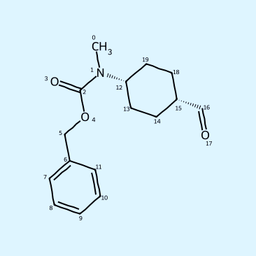 CN(C(=O)OCc1ccccc1)[C@H]1CC[C@@H](C=O)CC1